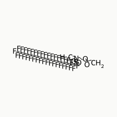 C=CC(=O)OCCN(CC)S(=O)(=O)C(F)(F)C(F)(F)C(F)(F)C(F)(F)C(F)(F)C(F)(F)C(F)(F)C(F)(F)C(F)(F)C(F)(F)C(F)(F)C(F)(F)C(F)(F)C(F)(F)C(F)(F)C(F)(F)C(F)(F)C(F)(F)F